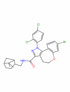 CC1(C)C2CCC(CNC(=O)c3nn(-c4ccc(Cl)cc4Cl)c4c3CCOc3cc(Br)ccc3-4)C1C2